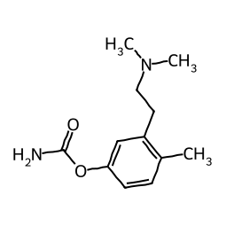 Cc1ccc(OC(N)=O)cc1CCN(C)C